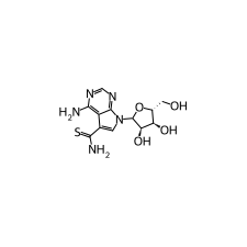 NC(=S)c1cn(C2O[C@H](CO)[C@@H](O)[C@H]2O)c2ncnc(N)c12